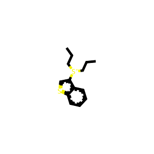 CCC[S+](CCC)c1csc2ccccc12